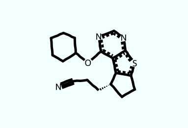 N#CCC[C@H]1CCc2sc3ncnc(OC4CCCCC4)c3c21